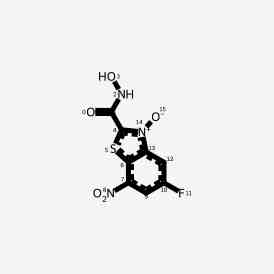 O=C(NO)c1sc2c([N+](=O)[O-])cc(F)cc2[n+]1[O-]